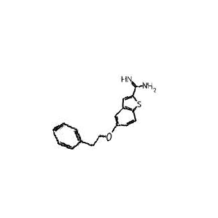 N=C(N)c1cc2cc(OCCc3ccccc3)ccc2s1